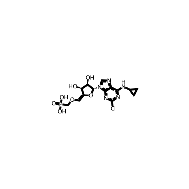 O=P(O)(O)COC=C1O[C@@H](n2cnc3c(NC4CC4)nc(Cl)nc32)[C@H](O)[C@@H]1O